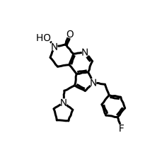 O=C1c2ncc3c(c(CN4CCCC4)cn3Cc3ccc(F)cc3)c2CCN1O